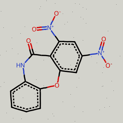 O=C1Nc2ccccc2Oc2cc([N+](=O)[O-])cc([N+](=O)[O-])c21